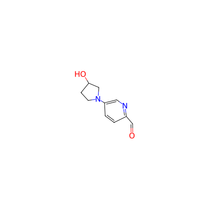 O=Cc1ccc(N2CCC(O)C2)cn1